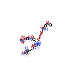 O=C(CCCC[C@@H]1SC[C@@H]2NC(=O)N[C@@H]21)N[C@@H](Cc1cn(CCOCCOCCOCCNC(=O)c2ccc(C(=O)c3ccccc3)cc2)nn1)C(=O)NCCc1ccc(O)c(/N=N/c2ccc(C(=O)ON3C(=O)CCC3=O)cc2)c1